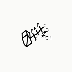 O=S(=O)(O)C(F)(F)C(F)(F)C(F)(F)C12CC3CC(CC(C3)C1)C2